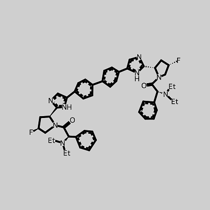 CCN(CC)[C@@H](C(=O)N1C[C@@H](F)C[C@H]1c1ncc(-c2ccc(-c3ccc(-c4cnc([C@@H]5C[C@H](F)CN5C(=O)[C@@H](c5ccccc5)N(CC)CC)[nH]4)cc3)cc2)[nH]1)c1ccccc1